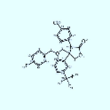 O=C1OCC(COCc2ccc(F)cc2)(c2cccc(C(F)(F)F)c2)N1c1ccc(Cl)cc1